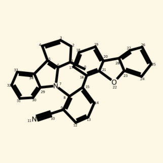 CC1CC=Cc2c1n(-c1c(C#N)cccc1-c1cccc3c1oc1ccccc13)c1ccccc21